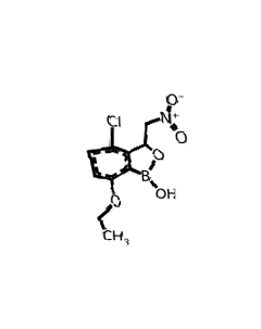 CCOc1ccc(Cl)c2c1B(O)OC2C[N+](=O)[O-]